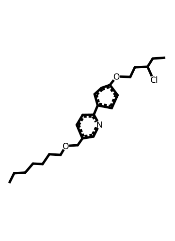 CCCCCCCOCc1ccc(-c2ccc(OCCC(Cl)CC)cc2)nc1